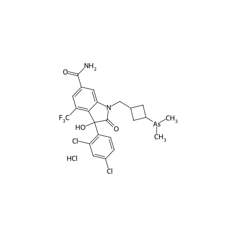 C[As](C)C1CC(CN2C(=O)C(O)(c3ccc(Cl)cc3Cl)c3c2cc(C(N)=O)cc3C(F)(F)F)C1.Cl